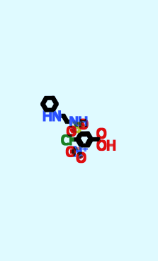 O=C(O)c1cc([N+](=O)[O-])c(Cl)c(S(=O)(=O)NCCNC2CCCCC2)c1